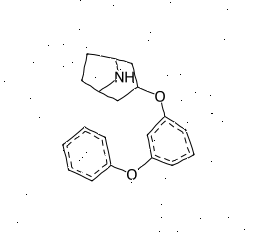 c1ccc(Oc2cccc(OC3CC4CCC(C3)N4)c2)cc1